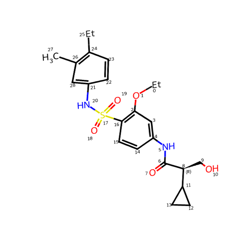 CCOc1cc(NC(=O)[C@@H](CO)C2CC2)ccc1S(=O)(=O)Nc1ccc(CC)c(C)c1